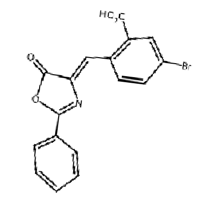 O=C1OC(c2ccccc2)=NC1=Cc1ccc(Br)cc1C(=O)O